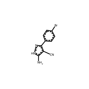 N#Cc1c(-c2ccc(Br)cc2)n[nH]c1N